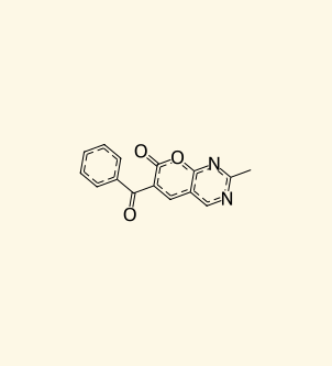 Cc1ncc2cc(C(=O)c3ccccc3)c(=O)oc2n1